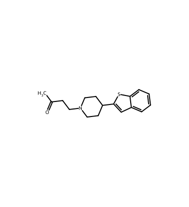 CC(=O)CCN1CCC(c2cc3ccccc3s2)CC1